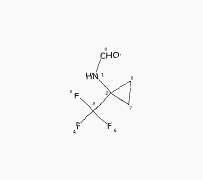 O=[C]NC1(C(F)(F)F)CC1